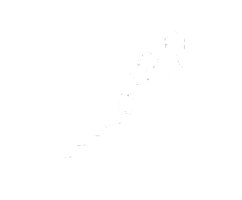 C[C@@H](Nc1ncnc2[nH]c(-c3ccc(C(=O)NCCNCC(=O)NO)cc3)cc12)c1ccccc1